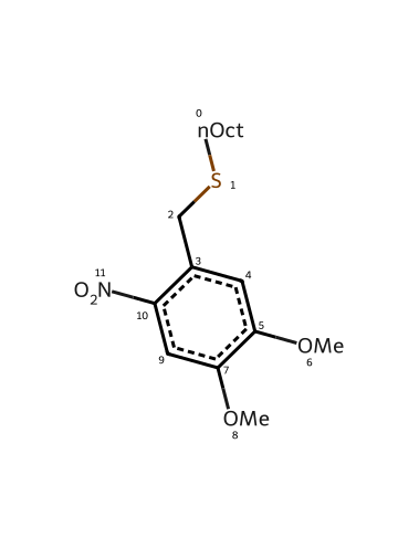 CCCCCCCCSCc1cc(OC)c(OC)cc1[N+](=O)[O-]